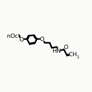 C=CC(=O)NCCCCOc1ccc(OCCCCCCCC)cc1